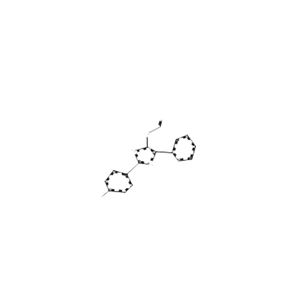 O=CNc1[nH]c(-c2ccc(F)cc2)nc1-c1ccccc1